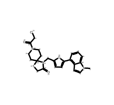 Cn1ccc2c(-c3ccc(CN4C(=O)CSC45CCN(C(=O)CCl)CC5)o3)cccc21